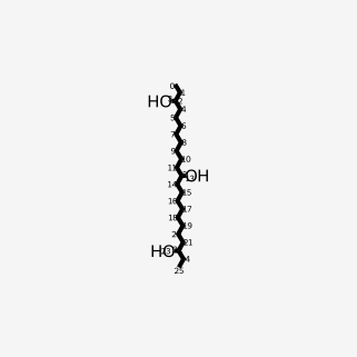 CCC(O)CCCCCCCCC(O)CCCCCCCCC(O)CC